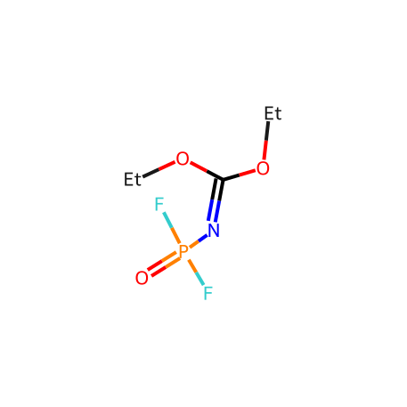 CCOC(=NP(=O)(F)F)OCC